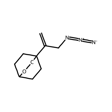 C=C(CN=[N+]=[N-])C12CCC(CC1)OC2